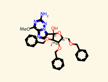 COc1nc(N)nn2c([C@]3(O)O[C@H](COCc4ccccc4)[C@@H](OCc4ccccc4)[C@@]3(C)OCc3ccccc3)cnc12